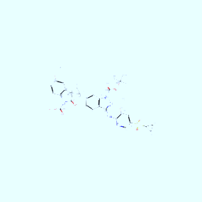 COc1ccc2c(c1)[C@]1(C[C@H]1c1ccc3c(Nc4ncc(S(=O)(=O)C5CC5)cc4OC)nn(C(=O)OC(C)(C)C)c3c1)C(=O)N2C(=O)O